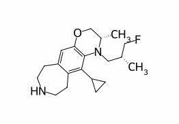 C[C@@H](CF)CN1c2c(cc3c(c2C2CC2)CCNCC3)OC[C@@H]1C